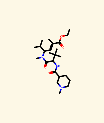 CCOC(=O)/C(C)=C/C(C(C)C)N(C)C(=O)C(NC(=O)C1CCCN(C)C1)C(C)(C)C